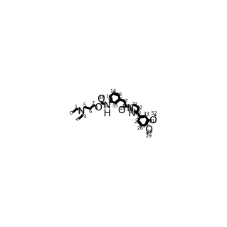 CCN(CC)CCCOC(=O)Nc1cccc(CC(=O)N2CCC(c3ccc(OC)c(OC)c3)=N2)c1